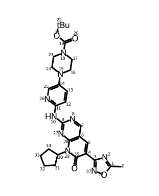 Cc1nc(-c2cc3cnc(Nc4ccc(N5CCN(C(=O)OC(C)(C)C)CC5)cn4)nc3n(C3CCCC3)c2=O)no1